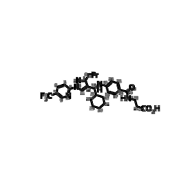 CCCc1nn(-c2ccc(C(F)(F)F)cn2)cc1C(Nc1ccc(C(=O)NCCC(=O)O)cc1)C1CCCCC1